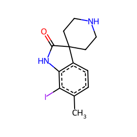 Cc1ccc2c(c1I)NC(=O)C21CCNCC1